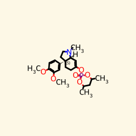 COc1ccc([C@@]23CCC(OP4(=O)OC(C)CC(C)O4)=C[C@@H]2N(C)CC3)cc1OC